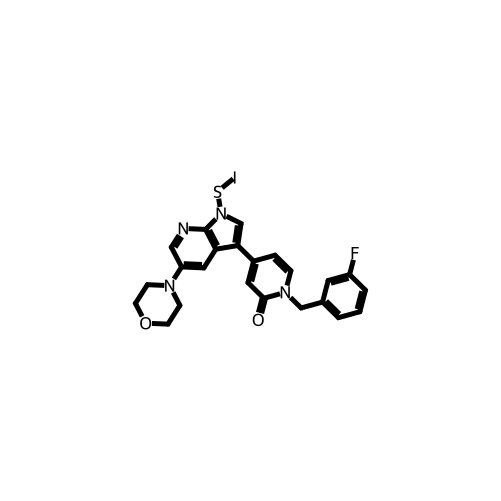 O=c1cc(-c2cn(SI)c3ncc(N4CCOCC4)cc23)ccn1Cc1cccc(F)c1